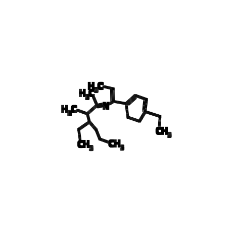 C/C=C(\N=C(/C)C(C)C(CC)CCC)C1=CC=C(CC)CC1